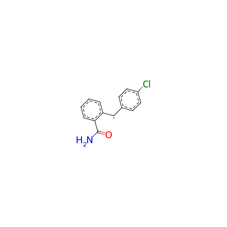 NC(=O)c1ccccc1[CH]c1ccc(Cl)cc1